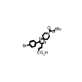 CC(C)(C)OC(=O)N1CCC2(CC1)N=C(/C=C/C(=O)O)C(c1ccc(Br)cc1)=N2